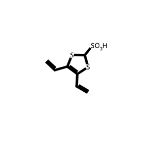 C=CC1=C(C=C)SC(S(=O)(=O)O)S1